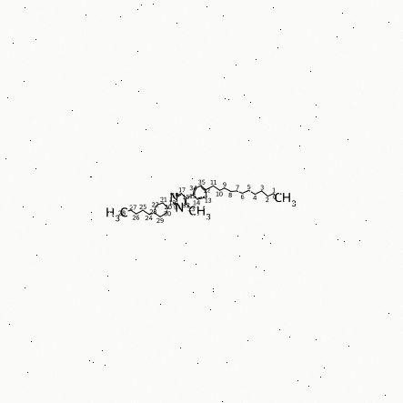 CCCCCCCCCCCCc1ccc(-c2cnc([C@H]3CC[C@H](CCCCC)CC3)nc2C)cc1